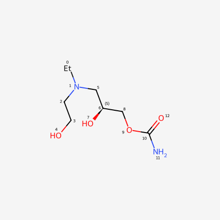 CCN(CCO)C[C@H](O)COC(N)=O